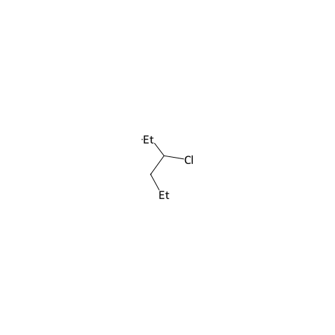 C[CH]C(Cl)CCC